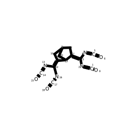 O=C=NC(N=C=O)=C1CC2CC(=C(N=C=O)N=C=O)C1C2